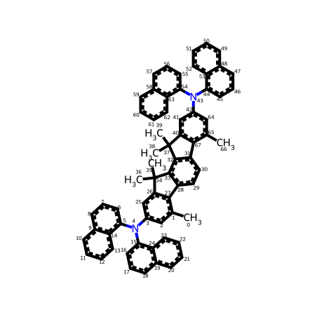 Cc1cc(N(c2cccc3ccccc23)c2cccc3ccccc23)cc2c1-c1ccc3c(c1C2(C)C)C(C)(C)c1cc(N(c2cccc4ccccc24)c2cccc4ccccc24)cc(C)c1-3